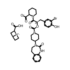 O=C(O)C1CC2CC[N+]21.O=C([O-])C1CCCCN1C(=O)[C@@H](Cc1ccc(O)c(Br)c1)OC(=O)N1CCC(N2CCc3ccccc3NC2=O)CC1